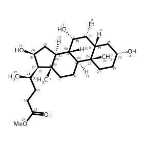 CC[C@H]1[C@@H](O)[C@@H]2[C@H](CC[C@]3(C)[C@@H]([C@H](C)CCC(=O)OC)[C@@H](O)C[C@@H]23)[C@@]2(C)CC[C@@H](O)C[C@@H]12